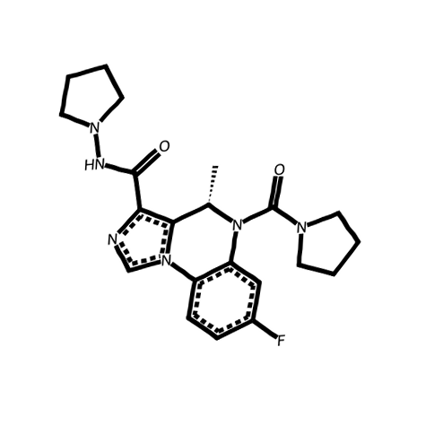 C[C@H]1c2c(C(=O)NN3CCCC3)ncn2-c2ccc(F)cc2N1C(=O)N1CCCC1